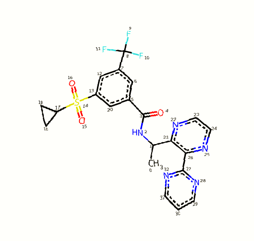 CC(NC(=O)c1cc(C(F)(F)F)cc(S(=O)(=O)C2CC2)c1)c1nccnc1-c1ncccn1